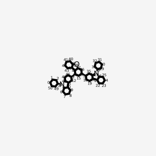 c1ccc(-n2c3ccccc3c3cc(-c4cc(-c5ccc6c7ccccc7n(-c7ccccc7)c6c5)cc5oc6ccccc6c45)ccc32)cc1